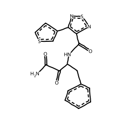 NC(=O)C(=O)C(Cc1ccccc1)NC(=O)c1nsnc1-c1ccsc1